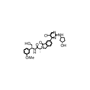 COc1cccc([C@@H](CO)NC(=O)[C@@H](C)N2Cc3ccc(-c4nc(N[C@H]5CC[C@H](O)C5)ncc4Cl)cc3C2=O)c1